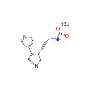 CC(C)(C)OC(=O)NCC#Cc1cnccc1-c1ccncc1